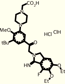 CCOc1cc2c(c(F)c1OCC)C(=N)N(CC(=O)c1cc(N3CCN(CC(=O)O)CC3)c(OC)c(C(C)(C)C)c1)C2.Cl.Cl